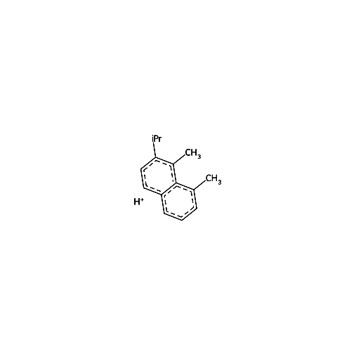 Cc1cccc2ccc(C(C)C)c(C)c12.[H+]